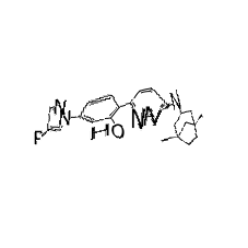 CN(c1ccc(-c2ccc(-n3cc(F)cn3)cc2O)nn1)[C@H]1C[C@]2(C)CC[C@](C)(C1)C2